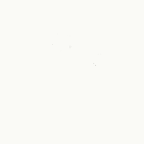 CCCCCOc1nocc1B1OC(C)(C)C(C)(C)O1